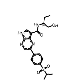 CC[C@@H](CO)NC(=O)c1c[nH]c2ncc(-c3ccc(S(=O)(=O)C(C)C)cc3)nc12